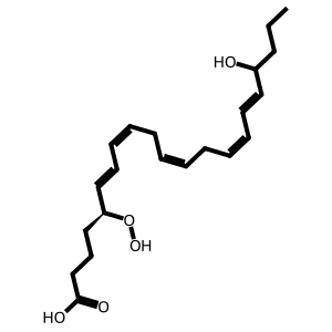 CCCC(O)/C=C/C=C\C/C=C\C/C=C\C=C\[C@H](CCCC(=O)O)OO